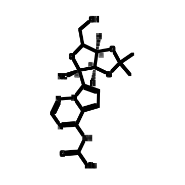 CCCCC(=O)Nc1ncnn2c([C@]3(C#N)OC(CO)[C@H]4OC(C)(C)O[C@H]43)ccc12